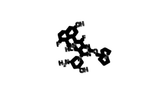 C#Cc1c(F)ccc2cc(O)cc(-c3ncc4c(N5C[C@H](N)C[C@@H](O)C5)nc(OCC56CCCN5CCC6)nc4c3F)c12